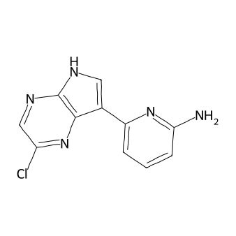 Nc1cccc(-c2c[nH]c3ncc(Cl)nc23)n1